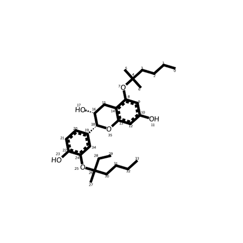 CCCCC(C)(C)Oc1cc(O)cc2c1C[C@@H](O)[C@@H](c1ccc(O)c(OC(C)(CC)CCCC)c1)O2